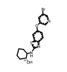 O[C@@H]1CCCCC1Nc1nc2ccc(Oc3cncc(Br)c3)cc2s1